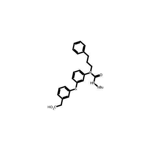 CCCCNC(=O)N(CCCc1ccccc1)c1cccc(Sc2cccc(CC(=O)O)c2)c1